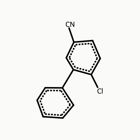 N#Cc1ccc(Cl)c(-c2ccccc2)c1